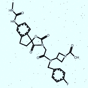 CNC(=O)Nc1ccc2c(c1)CCC21OC(=O)N(CC(=O)N(Cc2ccc(F)cc2)C2CN(C(=O)O)C2)C1=O